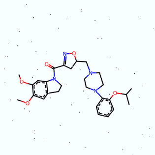 COc1cc2c(cc1OC)N(C(=O)C1=NOC(CN3CCN(c4ccccc4OC(C)C)CC3)C1)CC2